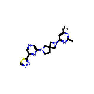 Cc1nc(N2CC3(CCN(c4cncc(-c5nncs5)n4)C3)C2)cc(C(F)(F)F)n1